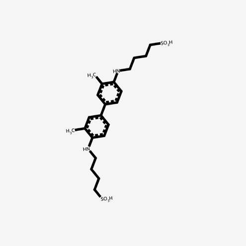 Cc1cc(-c2ccc(NCCCCS(=O)(=O)O)c(C)c2)ccc1NCCCCS(=O)(=O)O